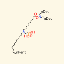 CCCCC/C=C\C/C=C\CCCCCCCCN(CCCCCCCCCC(=O)ON(CCCCCCCCCCCC)CCCCCCCCCCCC)CCP(=O)(O)O